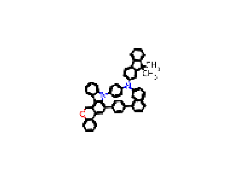 CC1(C)c2ccccc2-c2ccc(N(c3ccccc3)c3ccc(-n4c5ccccc5c5c6c(cc(-c7ccc(-c8ccccc8)cc7)c54)-c4ccccc4OC6)cc3)cc21